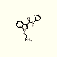 NCCn1cc(C(=O)Nc2nccs2)c2ccccc21